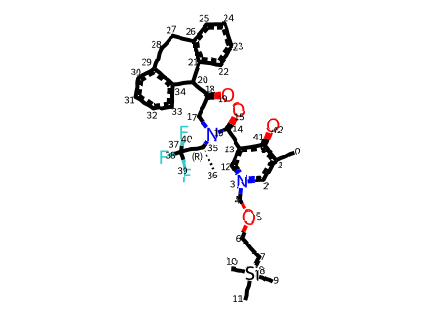 Cc1cn(COCC[Si](C)(C)C)cc(C(=O)N(CC(=O)C2c3ccccc3CCc3ccccc32)[C@H](C)C(F)(F)F)c1=O